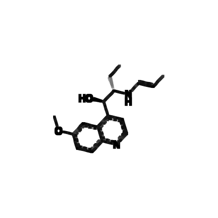 C/C=C/N[C@@H](CC)[C@H](O)c1ccnc2ccc(OC)cc12